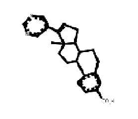 CC12CCC3c4ccc(C(=O)O)cc4CCC3C1CC=C2c1cncnc1